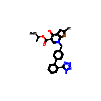 CCc1cc2c(=O)c(C(=O)OC(C)OC)cn(Cc3ccc(-c4ccccc4-c4nnn[nH]4)cc3)c2s1